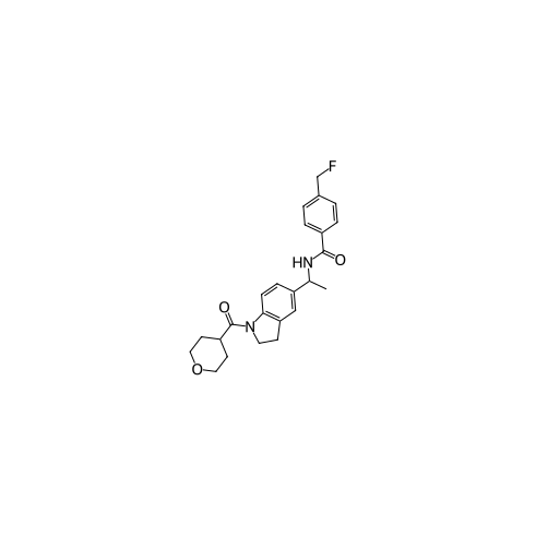 CC(NC(=O)c1ccc(CF)cc1)c1ccc2c(c1)CCN2C(=O)C1CCOCC1